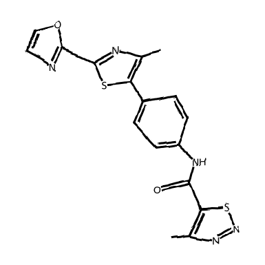 Cc1nnsc1C(=O)Nc1ccc(-c2sc(-c3ncco3)nc2C)cc1